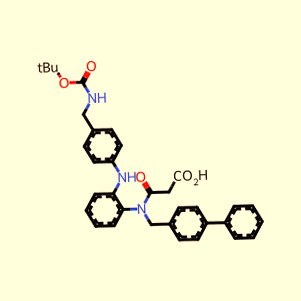 CC(C)(C)OC(=O)NCc1ccc(Nc2ccccc2N(Cc2ccc(-c3ccccc3)cc2)C(=O)CC(=O)O)cc1